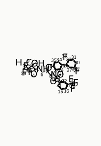 C[C@](O)(C(=O)NC[C@H]1CN(S(=O)(=O)c2cccc(C(F)(F)F)c2)c2cc(-c3cc(F)ccc3F)ccc2O1)C(F)(F)F